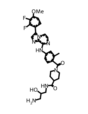 COc1ccc(-c2cnc3c(Nc4ccc(C(=O)N5CCC(C(=O)NCC(O)CN)CC5)c(C)c4)nccn23)c(F)c1F